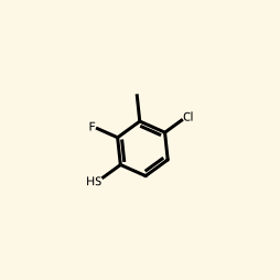 Cc1c(Cl)ccc(S)c1F